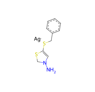 NN1C=C(SCc2ccccc2)SC1.[Ag]